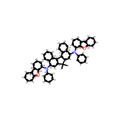 CC1(C)c2cc(N(c3ccccc3)c3cccc4c3oc3ccccc34)c3ccccc3c2-c2c1cc(N(c1ccccc1)c1cccc3c1oc1ccccc13)c1ccccc21